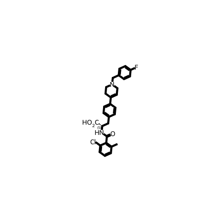 Cc1cccc(Cl)c1C(=O)N[C@@H](Cc1ccc(C2=CCN(Cc3ccc(F)cc3)CC2)cc1)C(=O)O